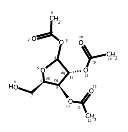 CC(=O)OC1O[C@H](CO)[C@H](OC(C)=O)[C@H]1OC(C)=O